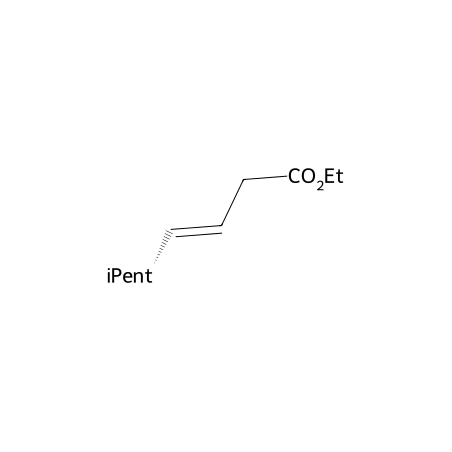 CCC[C@@H](C)C=CCC(=O)OCC